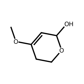 COC1=CC(O)OCC1